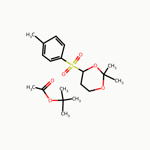 CC(=O)OC(C)(C)C.Cc1ccc(S(=O)(=O)C2CCOC(C)(C)O2)cc1